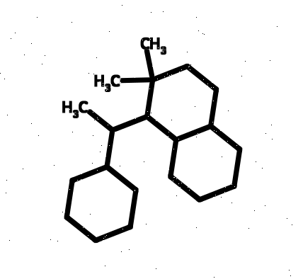 CC(C1CCCCC1)C1C2CCCCC2CCC1(C)C